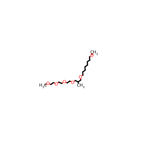 COCCCCCCCCOCC(C)COCCOCCOCCOC